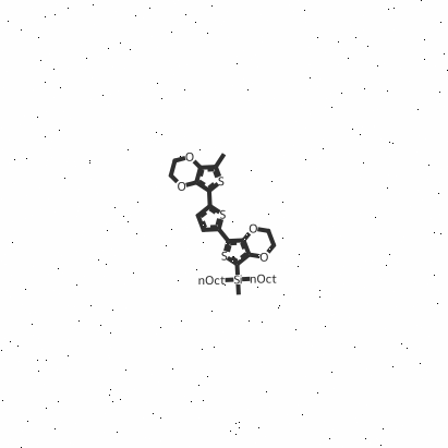 CCCCCCCC[Si](C)(CCCCCCCC)c1sc(-c2ccc(-c3sc(C)c4c3OCCO4)s2)c2c1OCCO2